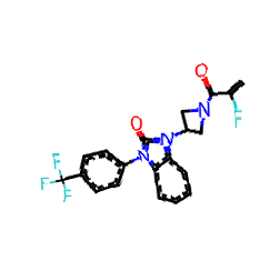 C=C(F)C(=O)N1CC(n2c(=O)n(-c3ccc(C(F)(F)F)cc3)c3ccccc32)C1